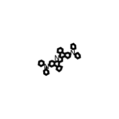 c1ccc(N(c2ccccc2)c2ccc3c(c2)c2ccccc2c2nc4c5ccc(N(c6ccccc6)c6ccccc6)cc5c5ccccc5c4cc32)cc1